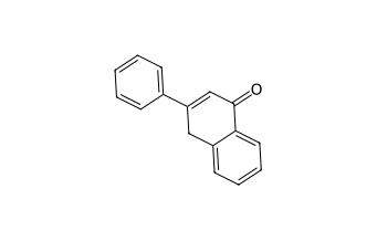 O=C1C=C(c2ccccc2)Cc2ccccc21